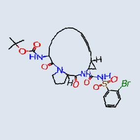 CC(C)(C)OC(=O)N[C@H]1CCCCCC=C=C[C@@H]2C[C@@]2(C(=O)NS(=O)(=O)c2ccccc2Br)NC(=O)[C@@H]2CCCN2C1=O